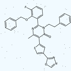 Cc1nc(-c2cccc(F)c2OCc2ccccc2)n(CCc2ccccc2)c(=O)c1-c1cc(-c2nnco2)cs1